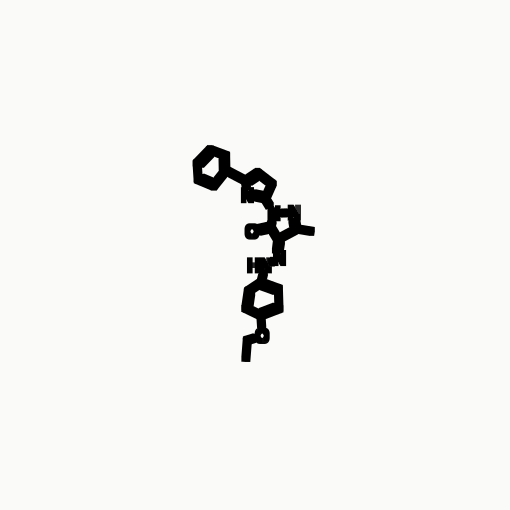 CCOc1ccc(N/N=C2\C(=O)N(C3=NC(c4ccccc4)=CC3)N=C2C)cc1